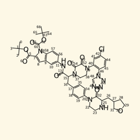 CC(C)(C)OC(=O)c1cc2cc(NC(=O)C(Cc3ccc(N4CCNC(CC5CCOC5)C4=O)cc3)N3CCN(c4cc(Cl)ccc4-n4cnnn4)C(=O)C3=O)ccc2n1C(=O)OC(C)(C)C